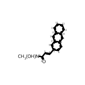 CN(O)C(=O)C=Cc1ccc2cc3ccccc3cc2c1